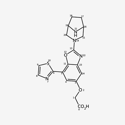 O=C(O)COc1cc(-c2nccs2)c2oc(N3CC4CCC(C3)N4)nc2c1